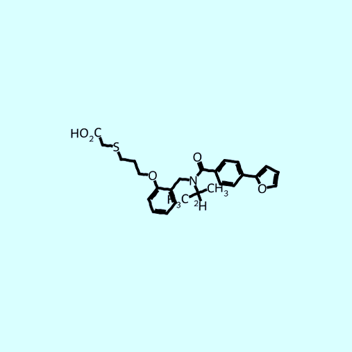 [2H]C(C)(C)N(Cc1ccccc1OCCCSCC(=O)O)C(=O)c1ccc(-c2ccco2)cc1